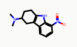 CN(C)C1CCc2[nH]c3c([N+](=O)[O-])cccc3c2C1